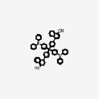 N#Cc1ccc(-c2ccc(C(c3ccc(-c4ccc(C#N)c5ccccc45)cc3)(c3ccc(N(c4ccccc4)c4ccccc4)cc3)c3ccc(N(c4ccccc4)c4ccccc4)cc3)cc2)c2ccccc12